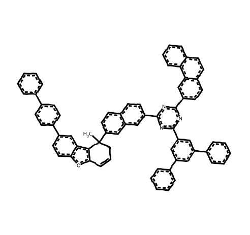 CC1(c2ccc3ccc(-c4nc(-c5cc(-c6ccccc6)cc(-c6ccccc6)c5)nc(-c5ccc6ccc7ccccc7c6c5)n4)cc3c2)CC=Cc2oc3ccc(-c4ccc(-c5ccccc5)cc4)cc3c21